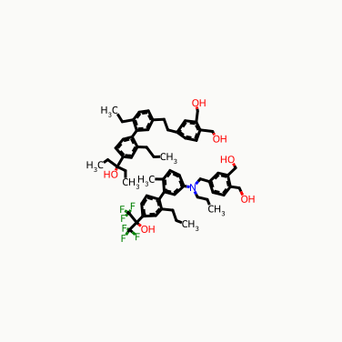 CCCc1cc(C(O)(C(F)(F)F)C(F)(F)F)ccc1-c1cc(N(CCC)Cc2ccc(CO)c(CO)c2)ccc1C.CCCc1cc(C(O)(CC)CC)ccc1-c1cc(CCc2ccc(CO)c(CO)c2)ccc1CC